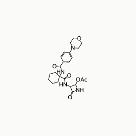 CC(=O)OC1NC(=O)C1NC(=O)C1(NC(=O)c2ccc(N3CCOCC3)cc2)CCCCC1